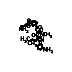 CC(C)=CCn1c(N2CCCC(N)C2)nc2c1c(=O)n(CC(=O)c1cccc(S(=O)(=O)CC=CN)c1)c(=O)n2C